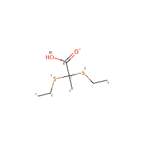 CCSC(C)(SCC)C(=O)O